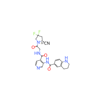 N#C[C@@H]1CC(F)(F)CN1C(=O)CNC(=O)c1ccncc1NC(=O)c1ccc2c(c1)CCCN2